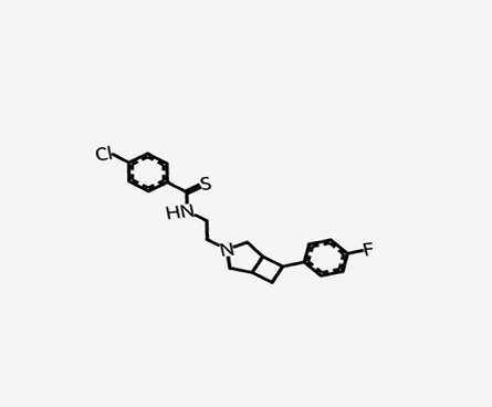 Fc1ccc(C2CC3CN(CCNC(=S)c4ccc(Cl)cc4)CC32)cc1